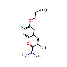 CN(C)C(=O)C(C#N)=Cc1ccc(F)c(OCCC(=O)O)c1